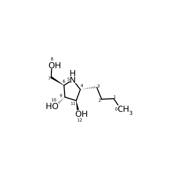 CCCC[C@H]1N[C@H](CO)[C@@H](O)[C@@H]1O